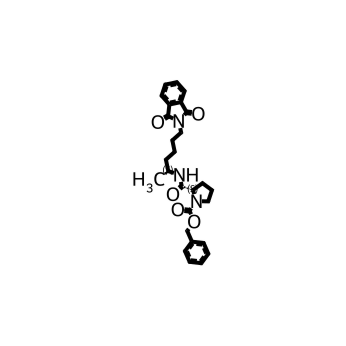 C[C@@H](CCCCN1C(=O)c2ccccc2C1=O)NC(=O)[C@@H]1CCCN1C(=O)OCc1ccccc1